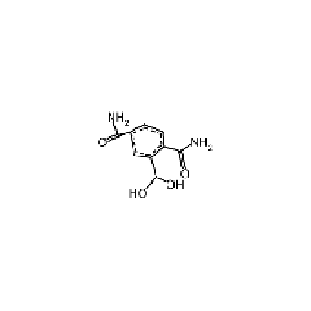 NC(=O)c1ccc(C(N)=O)c(C(O)O)c1